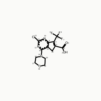 O=C(O)C1=C(C(F)(F)F)c2nc(Cl)nc(N3CCOCC3)c2C1